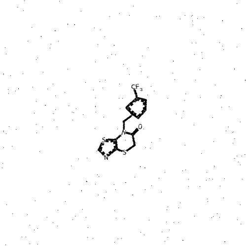 O=C1CSc2ncsc2N1Cc1cccc(C(F)(F)F)c1